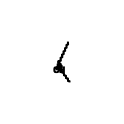 CCCCCCCCCCCCCSCC(CO)OCCCCCCCCCC